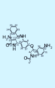 CC(=O)NCC(Oc1ccc(C2NC(=O)C(N)=C2C(=N)c2ccccc2)cc1)c1cccc(N)c1